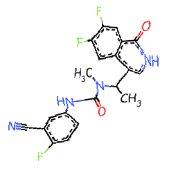 CC(c1c[nH]c(=O)c2cc(F)c(F)cc12)N(C)C(=O)Nc1ccc(F)c(C#N)c1